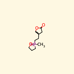 C[PH]1(CCC2=COC(=O)C2)CCCO1